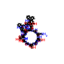 CC(=O)N[C@@H](Cc1c[nH]c2ccccc12)C(=O)N[C@@H](CC(=O)NC(c1ccccc1)(c1ccccc1)c1ccccc1)C(=O)N[C@@H](CC(=O)O)C(=O)N[C@@H]1C(=O)NCC(=O)N[C@@H](CCCN)C(=O)N[C@@H](CC(=O)O)C(=O)N[C@H](C)C(=O)N[C@@H](CC(=O)O)C(=O)NCC(=O)N[C@H](CO)C(=O)N[C@@H](C(C)CC(=O)O)C(=O)N[C@@H](CC(=O)c2ccccc2N)C(=O)O[C@@H]1C